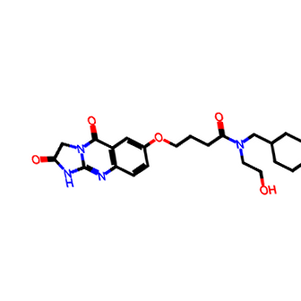 O=C1Cn2c(nc3ccc(OCCCC(=O)N(CCO)CC4CCCCC4)cc3c2=O)N1